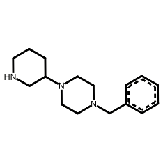 c1ccc(CN2CCN(C3CCCNC3)CC2)cc1